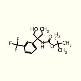 CCC(CO)(NC(=O)OC(C)(C)C)c1cccc(C(F)(F)F)c1